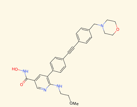 COCCNc1ncc(C(=O)NO)cc1-c1ccc(C#Cc2ccc(CN3CCOCC3)cc2)cc1